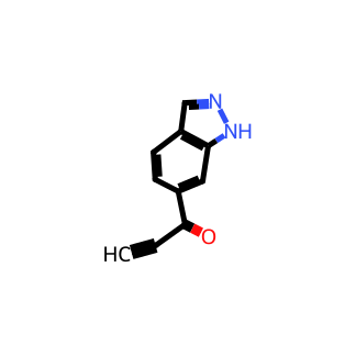 C#CC(=O)c1ccc2cn[nH]c2c1